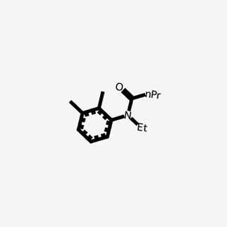 CCCC(=O)N(CC)c1cccc(C)c1C